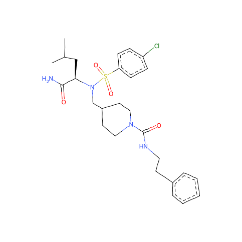 CC(C)C[C@H](C(N)=O)N(CC1CCN(C(=O)NCCc2ccccc2)CC1)S(=O)(=O)c1ccc(Cl)cc1